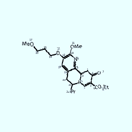 CCOC(=O)C1=CN2C(CC1=O)c1nc(OC)c(OCCCOC)cc1CC2C(C)C